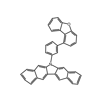 c1cc(-c2cccc3oc4ccccc4c23)cc(-n2c3cc4ccccc4cc3c3cc4ccccc4cc32)c1